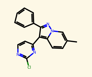 Cc1ccc2c(-c3ccnc(Cl)n3)c(-c3ccccc3)nn2c1